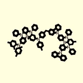 CC1=CCC(C)(N(c2ccc3c(c2)N(c2ccccc2)c2cccc4c2B3C2(C)C=CC(N(c3ccc(C)cc3)c3ccc(Cc5ccc6c(c5)c5ccccc5n6-c5ccc6c(c5)N(c5ccccc5)C5=C7B6c6ccc(-n8c9ccccc9c9ccccc98)cc6N(c6ccccc6)C7CC(C)=C5)cc3)=CC2N4c2ccccc2)C2C=CC(C)=CC2C)C=C1